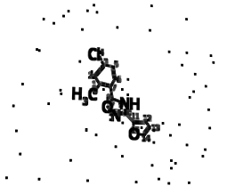 Cc1cc(Cl)ccc1C1NC(c2ccco2)=NO1